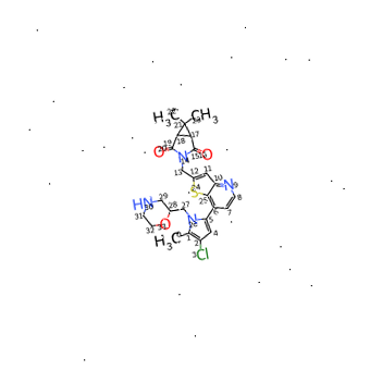 Cc1c(Cl)cc(-c2ccnc3cc(CN4C(=O)C5C(C4=O)C5(C)C)sc23)n1CC1CNCCO1